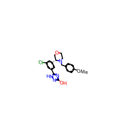 COc1ccc(CN2CCOC[C@H]2c2cc(Cl)cc(-c3nc(O)n[nH]3)c2)cc1